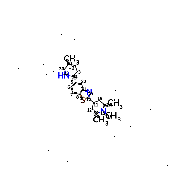 C[C@H]1CC[C@H](c2ccc3sc(C4C[C@@H](C)N(C)[C@@H](C)C4)nc3c2)NC1